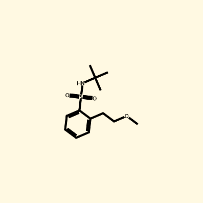 COCCc1ccccc1S(=O)(=O)NC(C)(C)C